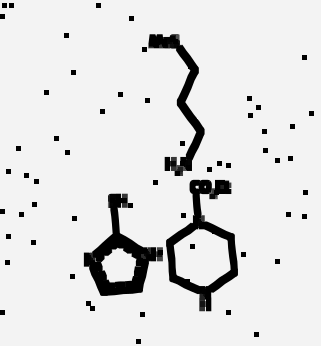 CCOC(=O)N1CCNCC1.CSCCCN.Sc1ncc[nH]1